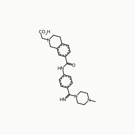 CN1CCN(C(=N)c2ccc(NC(=O)c3ccc4c(c3)CN(CC(=O)O)CC4)cc2)CC1